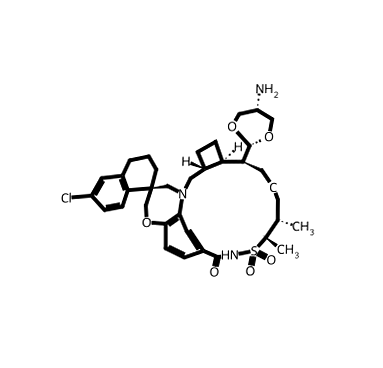 C[C@@H]1[C@@H](C)CCC[C@H]([C@H]2OC[C@@H](N)CO2)[C@@H]2CC[C@H]2CN2C[C@@]3(CCCc4cc(Cl)ccc43)COc3ccc(cc32)C(=O)NS1(=O)=O